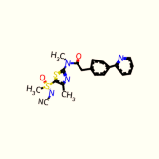 Cc1nc(N(C)C(=O)Cc2ccc(-c3ccccn3)cc2)sc1S(C)(=O)=NC#N